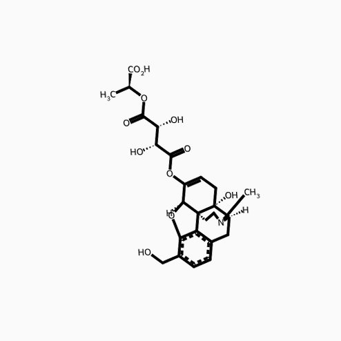 C[C@H](OC(=O)[C@H](O)[C@@H](O)C(=O)OC1=CC[C@@]2(O)[C@H]3Cc4ccc(CO)c5c4[C@@]2(CCN3C)[C@H]1O5)C(=O)O